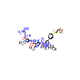 Cn1cc(NC(=O)c2cc(NC(=O)C3=CC(c4ccc(SCCBr)cc4)=C[N+]3(C)NC=O)cn2C)cc1C(=O)NCCC(=N)N